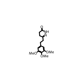 COc1cc(CCC2=NNC(=O)CC2)cc(OC)c1OC